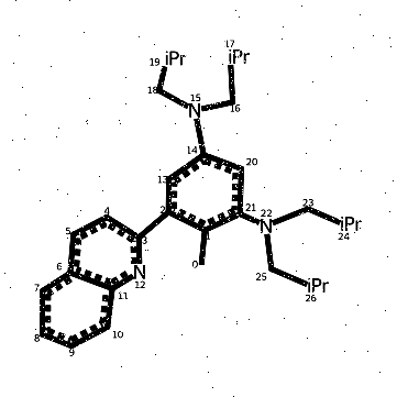 Cc1c(-c2ccc3ccccc3n2)cc(N(CC(C)C)CC(C)C)cc1N(CC(C)C)CC(C)C